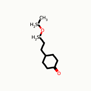 C[SiH2]O[SiH2]CCC1CCC(=O)CC1